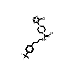 O/N=C(/NCCCc1ccc(C(F)(F)F)cc1)N1CCN(c2nsnc2Cl)CC1